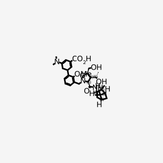 COc1c(CN2O[C@@H](CO)[C@@H]([C@H](C)O)[C@H]2C(=O)N[C@H]2C[C@H]3C[C@@H]([C@@H]2C)C3(C)C)cccc1C1C=C(C(=O)O)C=C(N(C)C)C1